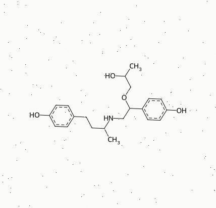 CC(O)COC(CNC(C)CCc1ccc(O)cc1)c1ccc(O)cc1